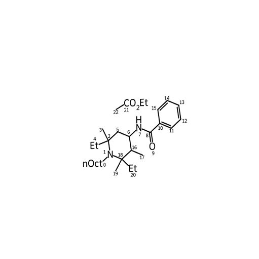 CCCCCCCCN1C(C)(CC)CC(NC(=O)c2ccccc2)C(C)C1(C)CC.CCOC(C)=O